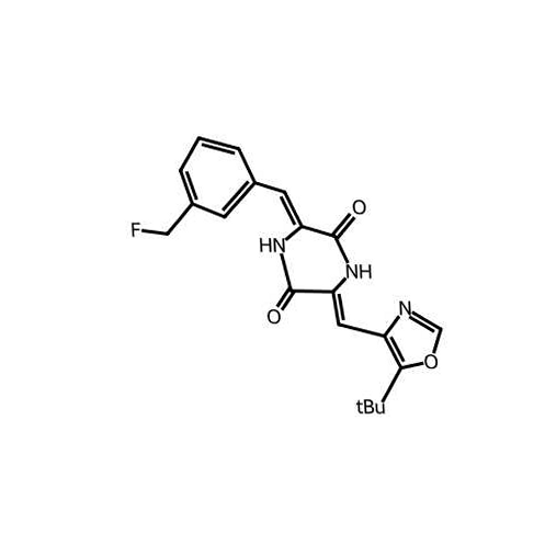 CC(C)(C)c1ocnc1/C=c1\[nH]c(=O)/c(=C/c2cccc(CF)c2)[nH]c1=O